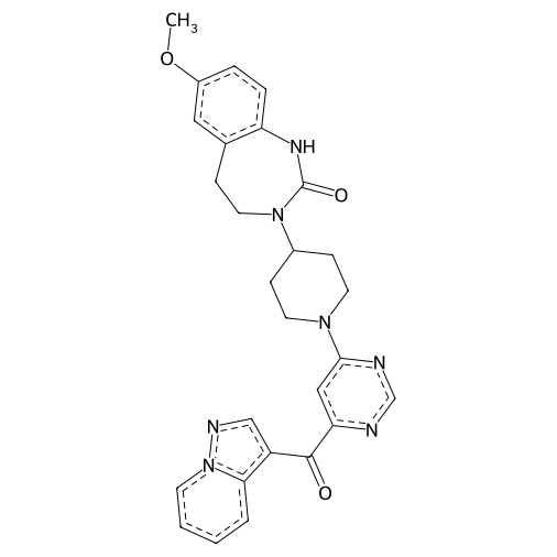 COc1ccc2c(c1)CCN(C1CCN(c3cc(C(=O)c4cnn5ccccc45)ncn3)CC1)C(=O)N2